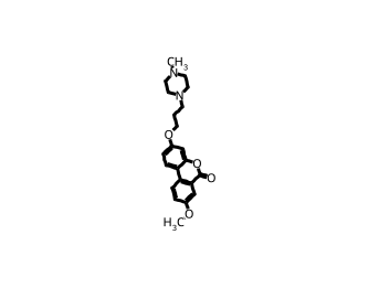 COc1ccc2c(c1)c(=O)oc1cc(OCCCN3CCN(C)CC3)ccc12